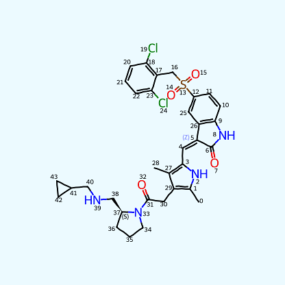 Cc1[nH]c(/C=C2\C(=O)Nc3ccc(S(=O)(=O)Cc4c(Cl)cccc4Cl)cc32)c(C)c1CC(=O)N1CCC[C@H]1CNCC1CC1